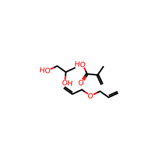 C=C(C)C(=O)O.C=CCOCC=C.CC(O)CO